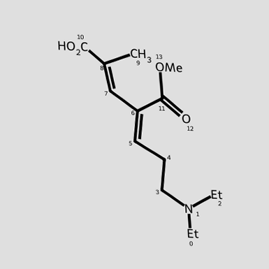 CCN(CC)CCC=C(C=C(C)C(=O)O)C(=O)OC